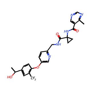 Cc1ncncc1C(=O)NC1(C(=O)NCc2ccc(Oc3ccc(C(C)O)cc3C(F)(F)F)cn2)CC1